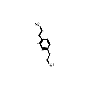 N#CCCc1ccc(CCO)cc1